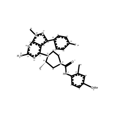 COc1ccc(NC(=O)N2CCN(c3nc(N)nc4c3c(-c3ccc(F)cc3)nn4C)[C@@H](C)C2)c(C)c1